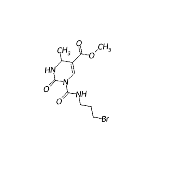 COC(=O)C1=CN(C(=O)NCCCBr)C(=O)NC1C